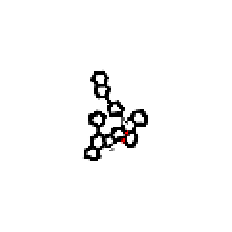 c1ccc(-c2ccccc2N(c2ccc(-c3ccc4ccccc4c3)cc2)c2ccc3sc4c5ccccc5cc(-c5ccccc5)c4c3c2)cc1